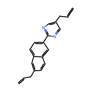 C=CCc1cnc(-c2ccc3cc(CC=C)ccc3c2)nc1